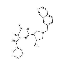 CC1CN(Cc2ccc3cnccc3c2)CC1c1nn2c(C3CCOCC3)ncc2c(=O)[nH]1